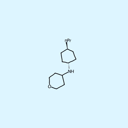 CCC[C@H]1CC[C@H](NC2CCOCC2)CC1